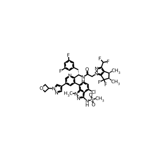 C[C@@H]1c2c(C(F)F)nn(CC(=O)N[C@@H](Cc3cc(F)cc(F)c3)c3ncc(-c4cnn(C5COC5)c4)cc3-c3ccc(Cl)c4c(NS(C)(=O)=O)nn(C)c34)c2C(F)(F)[C@@H]1C